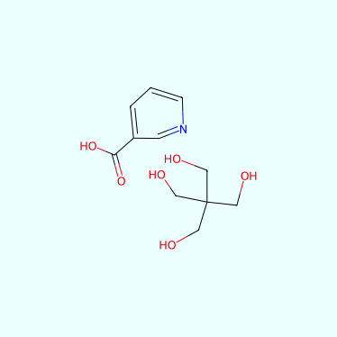 O=C(O)c1cccnc1.OCC(CO)(CO)CO